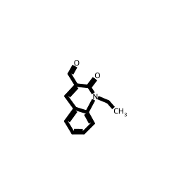 CCn1c(=O)c(C=O)cc2ccccc21